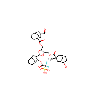 CC1(C(=O)OCC2OC(C3CC4CCCC(C4)C3OC(=O)C(F)(F)S(=O)(=O)O)OC2COC(=O)C23CCCC(CC(C=O)C2)C3)CC2CCC(O)C(C2)C1